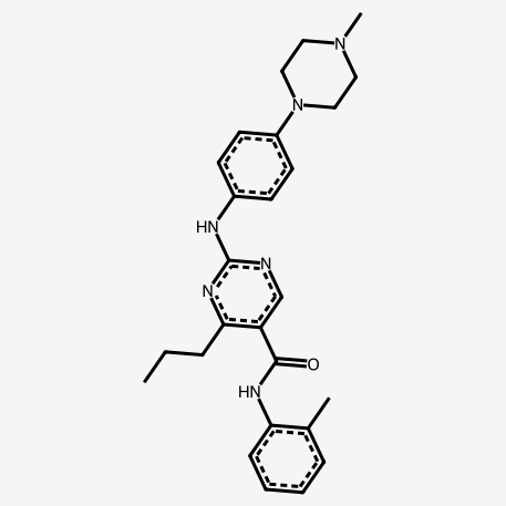 CCCc1nc(Nc2ccc(N3CCN(C)CC3)cc2)ncc1C(=O)Nc1ccccc1C